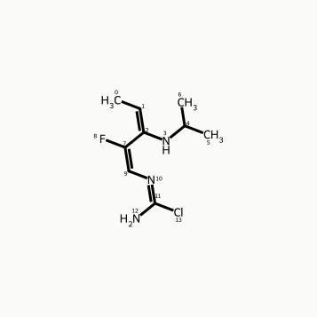 C\C=C(NC(C)C)/C(F)=C\N=C(/N)Cl